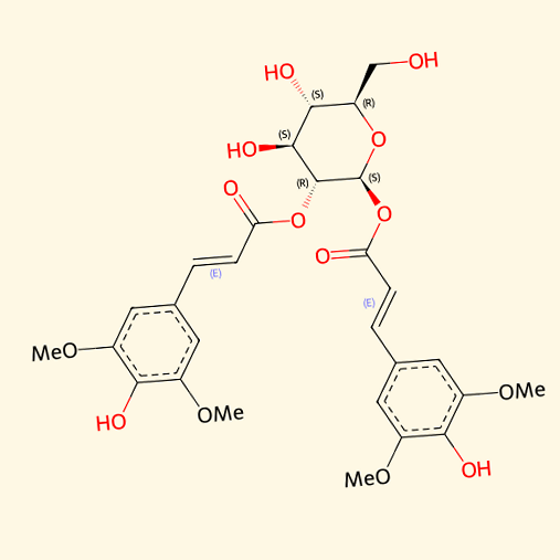 COc1cc(/C=C/C(=O)O[C@@H]2O[C@H](CO)[C@@H](O)[C@H](O)[C@H]2OC(=O)/C=C/c2cc(OC)c(O)c(OC)c2)cc(OC)c1O